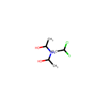 CC(O)NC(C)O.O=C(O)C(Cl)Cl